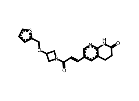 O=C1CCc2cc(C=CC(=O)N3CC(OCc4cccs4)C3)cnc2N1